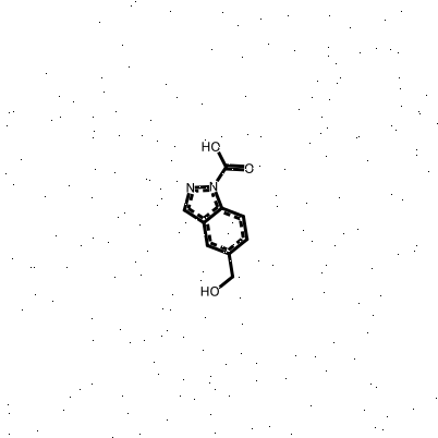 O=C(O)n1ncc2cc(CO)ccc21